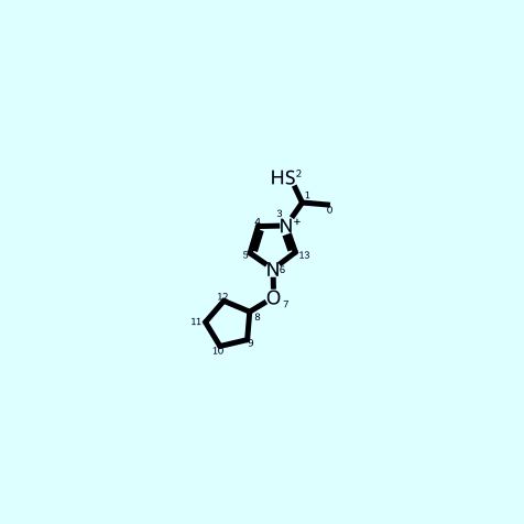 CC(S)[n+]1ccn(OC2CCCC2)c1